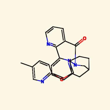 Cc1ccc(OC2CC3CCC2N(C(=O)c2cccnc2-c2ccccn2)C3)nc1